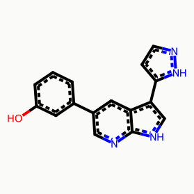 Oc1cccc(-c2cnc3[nH]cc(-c4ccn[nH]4)c3c2)c1